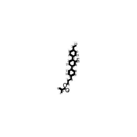 C=C(C)C(=O)OCCCc1ccc(C2C=C(F)C(c3ccc(CC)cc3)=CC2)cc1